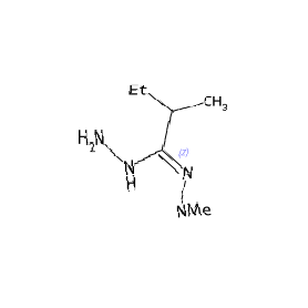 CCC(C)/C(=N/NC)NN